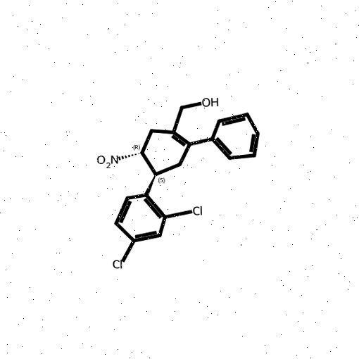 O=[N+]([O-])[C@@H]1CC(CO)=C(c2ccccc2)C[C@H]1c1ccc(Cl)cc1Cl